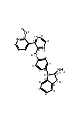 COc1ncccc1-c1nccnc1Oc1ccc(N2c3ccccc3SC2N)cc1